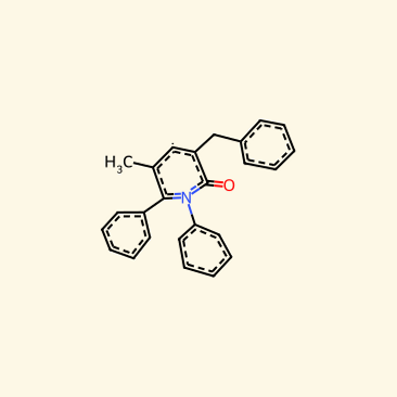 Cc1[c]c(Cc2ccccc2)c(=O)n(-c2ccccc2)c1-c1ccccc1